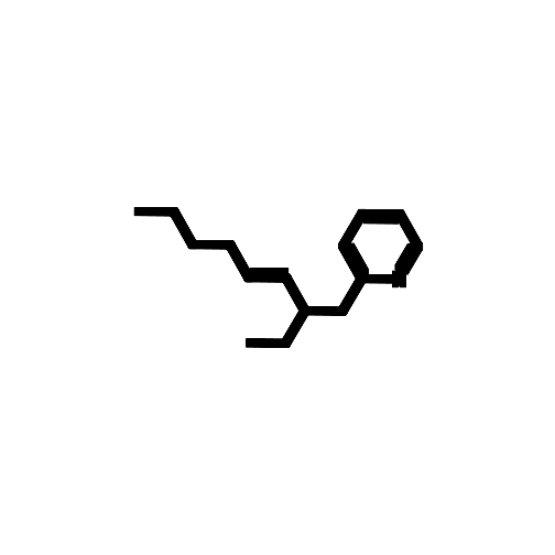 CCCCC=CC(CC)Cc1ccccn1